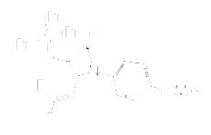 COc1ccc(N2C(=O)C(O[Si](C(C)C)(C(C)C)C(C)C)C2C=C(F)F)cc1